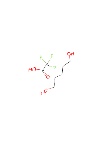 O=C(O)C(F)(F)F.OCCCCCO